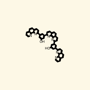 Oc1cc(-c2ccc3ccc4cccnc4c3n2)cc(-c2ccc3ccc4ccc(-c5cc(O)cc(-c6ccc7ccc8cccnc8c7n6)c5)nc4c3n2)c1